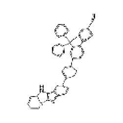 CC(c1ccccc1)(c1ccccc1)c1cc(C2=CC=C(c3ccc4sc5c(c4c3)NC3C=CC=CN53)CC2)ccc1-c1ccc(C#N)cc1